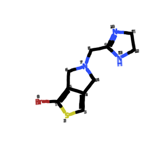 Brc1scc2c1CN(CC1=NCCN1)C2